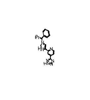 CC(C)C(c1ccccc1)N1C=C(c2cc(-c3nn[nH]n3)ccn2)NC1